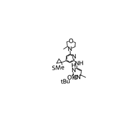 CSC1(c2cc(N/C(=C/C(C)=N)NC(=O)OC(C)(C)C)nc(N3CCOCC3C)c2)CC1